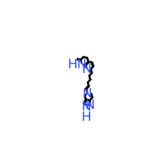 C=C1CCc2ccc(CCCCC=CN3CCc4n[nH]cc4C3)nc2N1